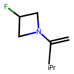 C=C(C(C)C)N1CC(F)C1